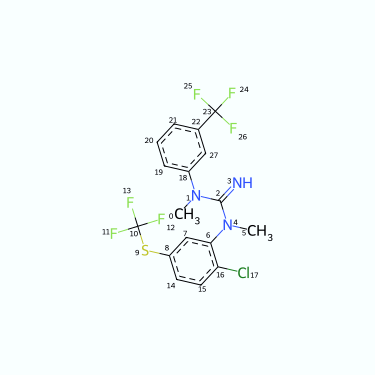 CN(C(=N)N(C)c1cc(SC(F)(F)F)ccc1Cl)c1cccc(C(F)(F)F)c1